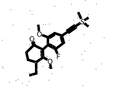 CCC1CCC(=O)C(c2c(F)cc(C#CS(C)(C)C)cc2OC)=C1OC